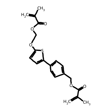 C=C(C)C(=O)OCOc1ccc(-c2ccc(COC(=O)C(=C)C)cc2)s1